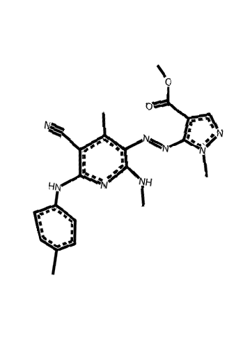 CNc1nc(Nc2ccc(C)cc2)c(C#N)c(C)c1/N=N/c1c(C(=O)OC)cnn1C